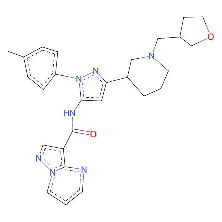 Cc1ccc(-n2nc(C3CCCN(CC4CCOC4)C3)cc2NC(=O)c2cnn3cccnc23)cc1